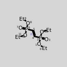 CCOP(=O)(/C=C/P(=O)(OCC)OCC)OCC